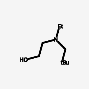 CCN(CCO)CC(C)(C)C